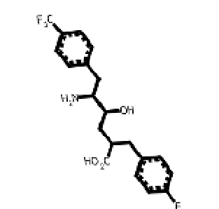 NC(Cc1ccc(C(F)(F)F)cc1)C(O)CC(Cc1ccc(F)cc1)C(=O)O